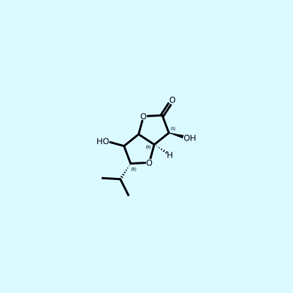 CC(C)[C@H]1O[C@H]2C(OC(=O)[C@H]2O)C1O